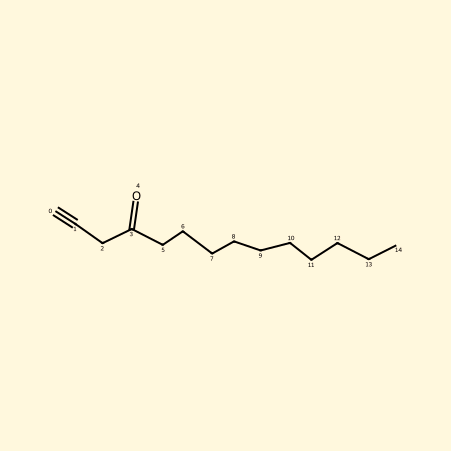 C#CCC(=O)CCCCCCCCCC